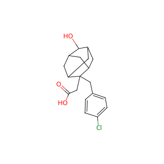 O=C(O)CC1(Cc2ccc(Cl)cc2)C2CC3CC1CC(C2)C3O